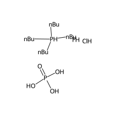 CCCC[PH](CCCC)(CCCC)CCCC.Cl.F.O=P(O)(O)O